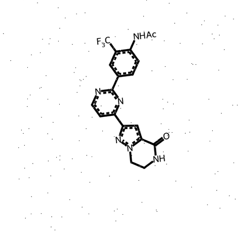 CC(=O)Nc1ccc(-c2nccc(-c3cc4n(n3)CCNC4=O)n2)cc1C(F)(F)F